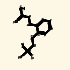 O=C(O)COc1ccccc1OCC(F)(F)F